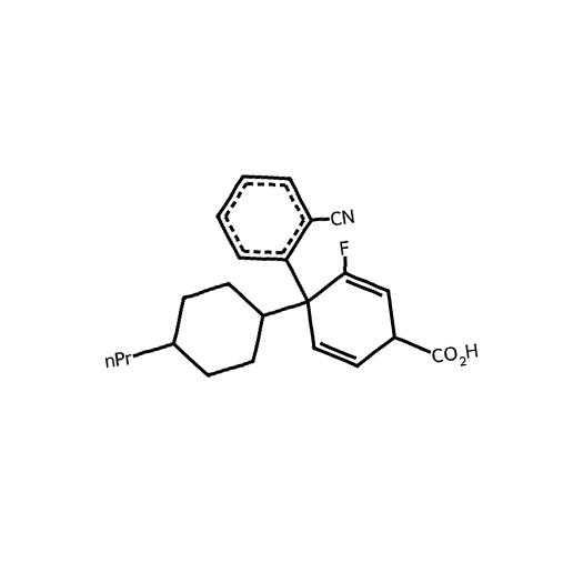 CCCC1CCC(C2(c3ccccc3C#N)C=CC(C(=O)O)C=C2F)CC1